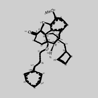 COc1ccc2c3c1OC1C(=O)CC[C@@]4(OCCCc5ccccc5)[C@@H](C2)N(CC2CCC2)CC[C@]314